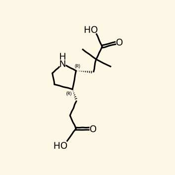 CC(C)(C[C@H]1NCC[C@H]1CCC(=O)O)C(=O)O